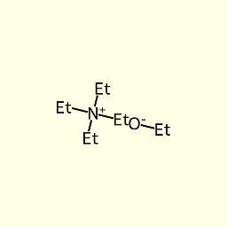 CC[N+](CC)(CC)CC.CC[O-]